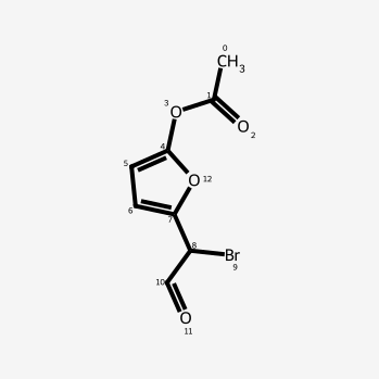 CC(=O)Oc1ccc(C(Br)C=O)o1